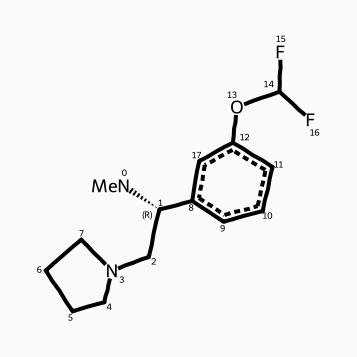 CN[C@@H](CN1CCCC1)c1cccc(OC(F)F)c1